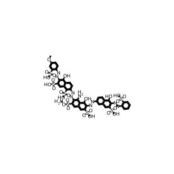 COc1ccc(N=Nc2c(S(=O)(=O)O)cc3c(S(=O)(=O)O)c(N=Nc4c(S(=O)(=O)ON)cc5cc(S(=O)(=O)O)c(N=Nc6ccc7c(O)c(N=Nc8ccccc8S(=O)(=O)O)c(S(=O)(=O)O)cc7c6)c(O)c5c4N)ccc3c2O)c(S(=O)(=O)O)c1